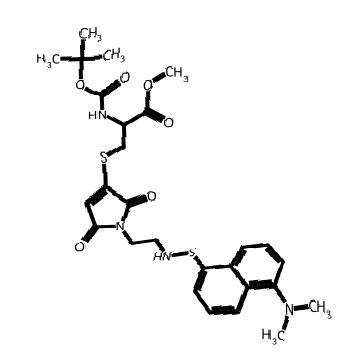 COC(=O)C(CSC1=CC(=O)N(CCNSc2cccc3c(N(C)C)cccc23)C1=O)NC(=O)OC(C)(C)C